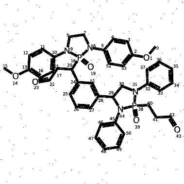 COc1ccc(N2CCN(c3ccc(OC)cc3)P2(=O)C(CC=O)c2cccc(C3CN(c4ccccc4)P(=O)(CCC=O)N3c3ccccc3)c2)cc1